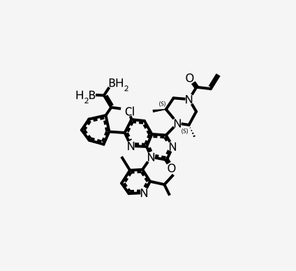 BC(B)=C(C)c1ccccc1-c1nc2c(cc1Cl)c(N1[C@@H](C)CN(C(=O)C=C)C[C@@H]1C)nc(=O)n2-c1c(C)ccnc1C(C)C